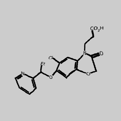 CCC(Oc1cc2c(cc1Cl)N(CCC(=O)O)C(=O)CO2)c1ccccn1